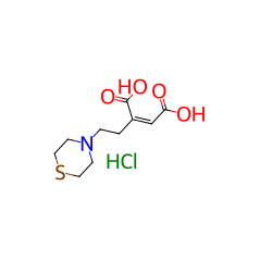 Cl.O=C(O)C=C(CCN1CCSCC1)C(=O)O